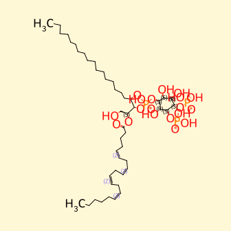 CCCCC/C=C\C/C=C\C/C=C\C/C=C\CCCC(=O)O[C@@H](CO)C(OP(=O)(O)O[C@@H]1[C@@H](O)[C@H](OP(=O)(O)O)[C@@H](OP(=O)(O)O)[C@H](O)[C@@H]1O)C(=O)CCCCCCCCCCCCCCCCC